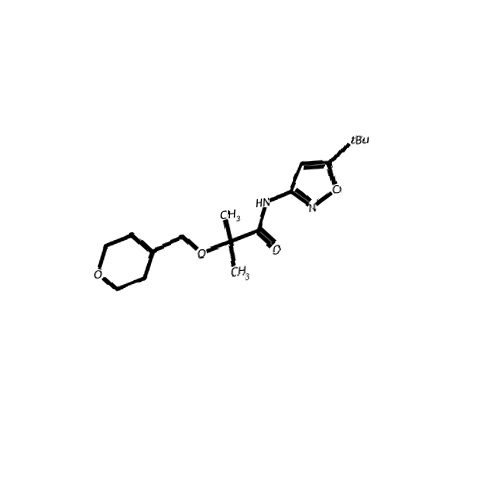 CC(C)(OCC1CCOCC1)C(=O)Nc1cc(C(C)(C)C)on1